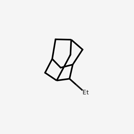 CCC1C2CC3CC(C2)CC1C3